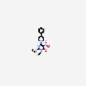 Cc1nc(N2CCC(c3ccccc3)CC2)c([N+](=O)[O-])c(=O)n1CC(F)(F)F